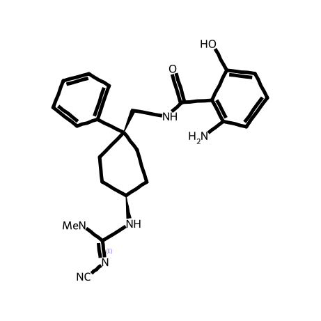 CN/C(=N\C#N)N[C@H]1CC[C@](CNC(=O)c2c(N)cccc2O)(c2ccccc2)CC1